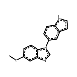 COc1ccc2c(c1)ncn2-c1ccc2[nH]ccc2c1